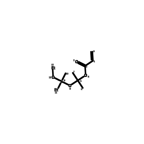 C=CC(=O)OC(C)(C)O[Si](C)(CC)OCC